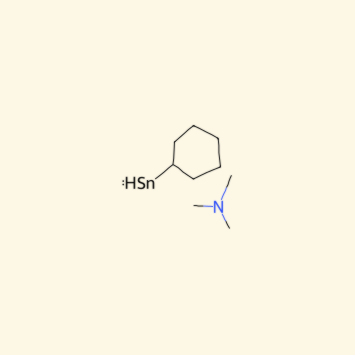 CN(C)C.[SnH][CH]1CCCCC1